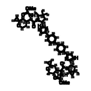 COC(=O)N[C@H](C(=O)N1C(C)C(C)(C)C[C@H]1c1nc(-c2ccc(-c3ccc(-c4c[nH]c([C@@H]5C[C@@]6(C)C[C@H]6N5C(=O)[C@@H](NC(=O)OC)[C@H]5CCOC6(CC6)C5)n4)cc3)cc2)c[nH]1)[C@H]1CCOC2(CC2)C1